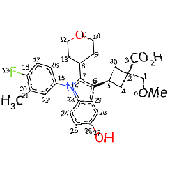 COC[C@]1(C(=O)O)C[C@@H](c2c(C3CCOCC3)n(-c3ccc(F)c(C)c3)c3ccc(O)cc32)C1